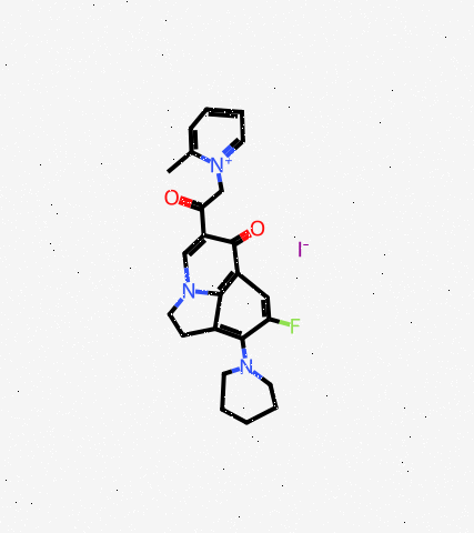 Cc1cccc[n+]1CC(=O)c1cn2c3c(c(N4CCCCC4)c(F)cc3c1=O)CC2.[I-]